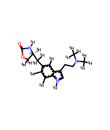 [2H]c1c(C([2H])([2H])[C@]2([2H])N([2H])C(=O)OC2([2H])[2H])c([2H])c2c(CCN(C([2H])([2H])[2H])C([2H])([2H])[2H])cn([2H])c2c1[2H]